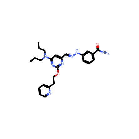 CCCN(CCC)c1cc(/C=N/Nc2cccc(C(N)=O)c2)nc(OCCc2ccccn2)n1